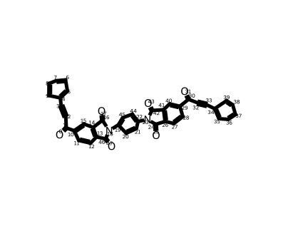 O=C(C#Cc1ccccc1)c1ccc2c(c1)C(=O)N(c1ccc(N3C(=O)c4ccc(C(=O)C#Cc5ccccc5)cc4C3=O)cc1)C2=O